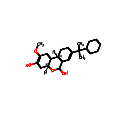 COC1=C(O)C[C@@H]2OC(O)C3C=C(C(C)(C)C4CCCCC4)CC[C@@H]3C2C1